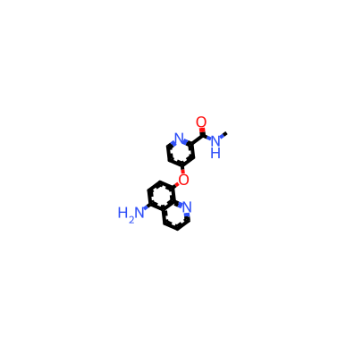 CNC(=O)c1cc(Oc2ccc(N)c3cccnc23)ccn1